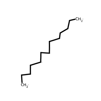 [CH2]CCC[CH]CCCCCCC[CH2]